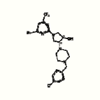 CC(C)c1cc(C(F)(F)F)nc(N2C[C@@H](O)[C@H](N3CCN(Cc4ccc(Cl)cc4)CC3)C2)n1